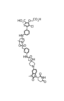 Cn1c(=O)n(C2CCC(=O)NC2=O)c2ccc(N3CCC(O)(CC(=O)Nc4cccc(CS(=O)(=O)N5CC[C@H](Nc6cccc(-c7sc(C(=O)O)c(OCC(=O)O)c7Cl)c6)CC5(C)C)c4)CC3)cc21